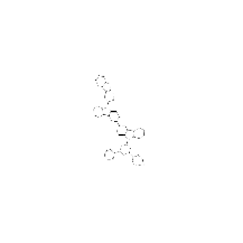 C1CCC(C2CC(C3CCNCC3)CC(N3C4CCCCC4C4CC(C5CCC6C(C5)C5CCCCC5N6C5CCC6OC7CCCCC7C6C5)CCC43)C2)CC1